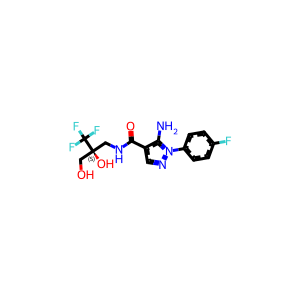 Nc1c(C(=O)NC[C@](O)(CO)C(F)(F)F)cnn1-c1ccc(F)cc1